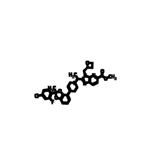 COC(=O)c1ccc2nc(C(C)N3CC=C(c4cccc5c4OC(C)(c4ccc(Cl)cc4F)O5)CC3)n(C[C@@H]3CCO3)c2n1